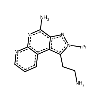 CCCn1nc2c(N)nc3ncccc3c2c1CCN